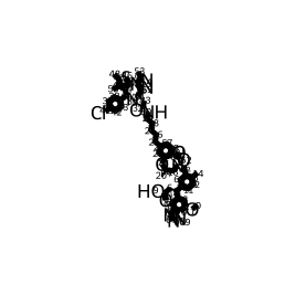 COc1cc([C@@H](CC(=O)O)c2ccc(C)c(CN3C[C@@H](C)Oc4cc(CCCCCNC(=O)C[C@@H]5N=C(c6ccc(Cl)cc6)c6c(sc(C)c6C)-n6c(C)nnc65)ccc4S3(=O)=O)c2)cc2nnn(C)c12